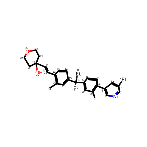 CCc1cncc(-c2ccc(C(CC)(CC)c3ccc(/C=C/C4(O)CCOCC4)c(C)c3)cc2C)c1